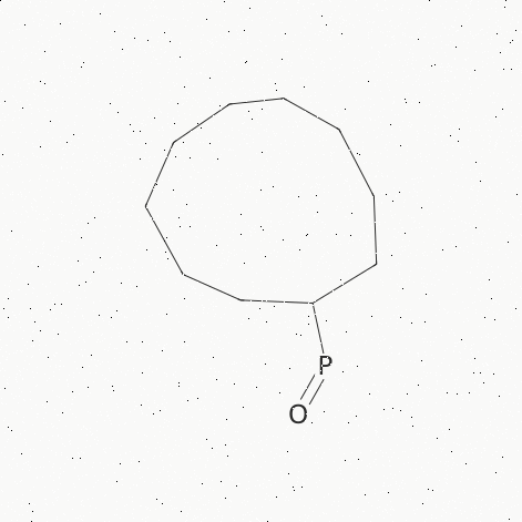 O=PC1CCCCCCCCC1